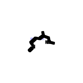 C=N/C=C\C=C(/C)CNC